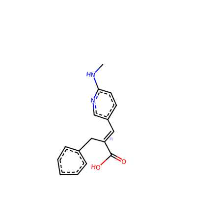 CNc1ccc(/C=C(\Cc2ccccc2)C(=O)O)cn1